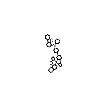 c1ccc(N(c2ccc(-c3ccc4c(c3)C3(c5ccccc5Oc5c3ccc3ccccc53)c3ccccc3-4)cc2)c2cccc3c2oc2ccccc23)cc1